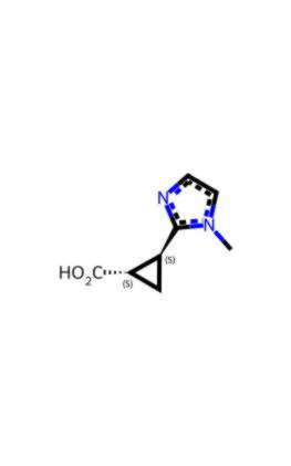 Cn1ccnc1[C@H]1C[C@@H]1C(=O)O